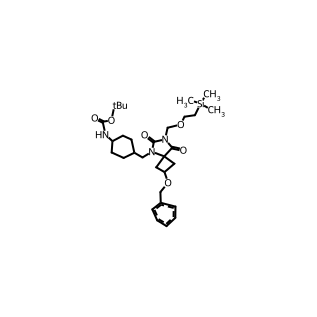 CC(C)(C)OC(=O)NC1CCC(CN2C(=O)N(COCC[Si](C)(C)C)C(=O)C23CC(OCc2ccccc2)C3)CC1